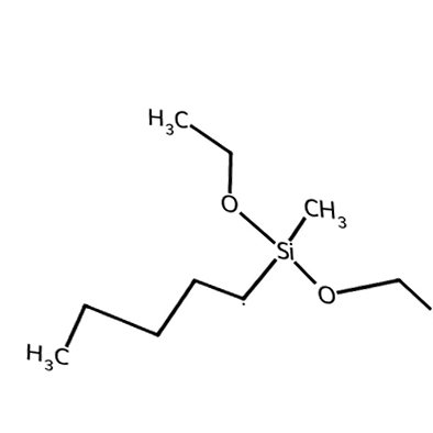 CCCC[CH][Si](C)(OCC)OCC